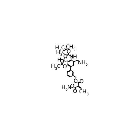 CC=C(C(=O)ON)C(=O)OCc1cccc(-c2cc(CN)c(NC(=O)OC(C)(C)C)c(C)c2OC(C)=O)c1